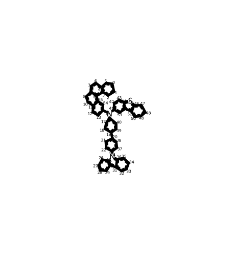 c1ccc2c(c1)ccc1ccc3ccc(N(c4ccc(-c5ccc(-n6c7ccccc7c7ccccc76)cc5)cc4)c4ccc5sc6ccccc6c5c4)cc3c12